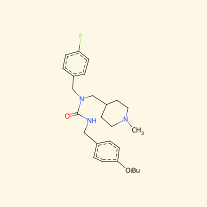 CC(C)COc1ccc(CNC(=O)N(Cc2ccc(F)cc2)CC2CCN(C)CC2)cc1